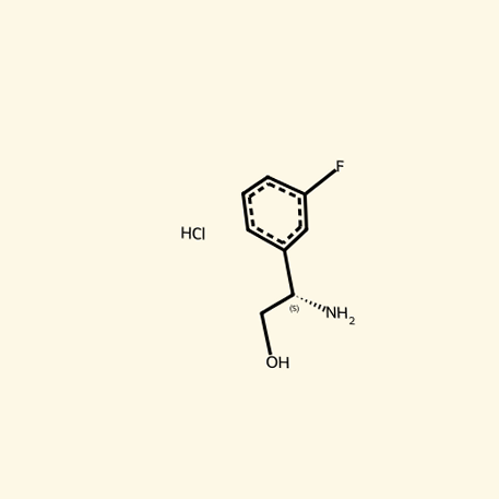 Cl.N[C@H](CO)c1cccc(F)c1